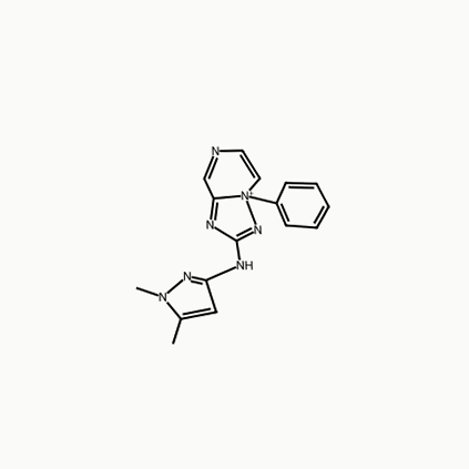 Cc1cc(NC2=N[N+]3(c4ccccc4)C=CN=CC3=N2)nn1C